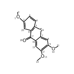 COc1ccc2sc3cc(OC)c(OC)cc3c(=O)c2c1